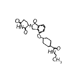 CCNC(=O)C1CCC(Oc2cccc3c2CN(C2CCC(=O)NC2=O)C3=O)CC1